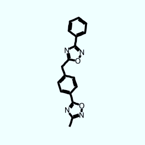 Cc1noc(-c2ccc(Cc3nc(-c4ccccc4)no3)cc2)n1